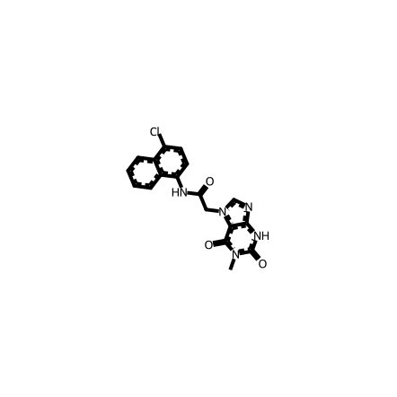 Cn1c(=O)[nH]c2ncn(CC(=O)Nc3ccc(Cl)c4ccccc34)c2c1=O